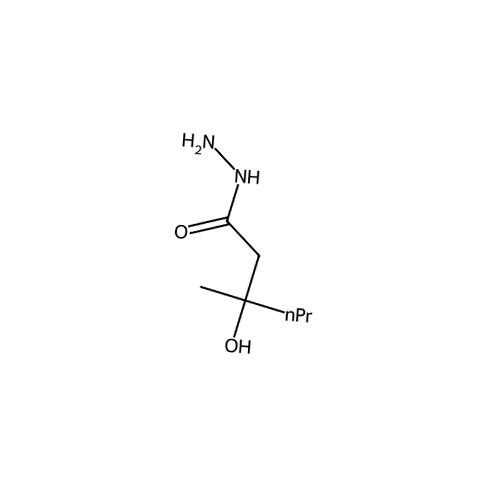 CCCC(C)(O)CC(=O)NN